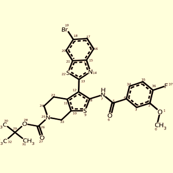 COc1cc(C(=O)Nc2sc3c(c2-c2nc4ccc(Br)cc4s2)CCN(C(=O)OC(C)(C)C)C3)ccc1F